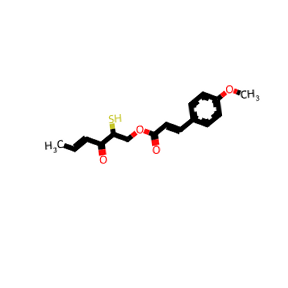 CC=CC(=O)C(S)COC(=O)C=Cc1ccc(OC)cc1